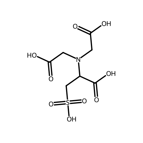 O=C(O)CN(CC(=O)O)C(CS(=O)(=O)O)C(=O)O